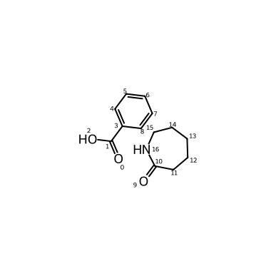 O=C(O)c1ccccc1.O=C1CCCCCN1